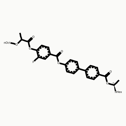 CCCCCCCCOC(C)C(=O)Oc1ccc(C(=O)Oc2ccc(-c3ccc(C(=O)O[C@@H](C)CCCCCC)cc3)cc2)cc1F